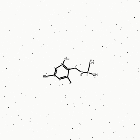 Cc1cc(C(C)(C)C)cc(C(C)(C)C)c1COP(O)O